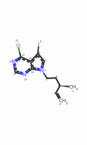 C=C[C@H](C)CCn1cc(I)c2c(Cl)ncnc21